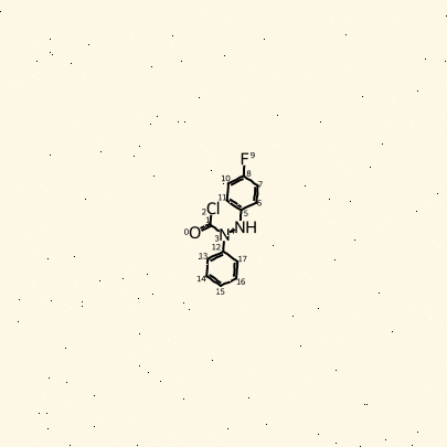 O=C(Cl)N(Nc1ccc(F)cc1)c1ccccc1